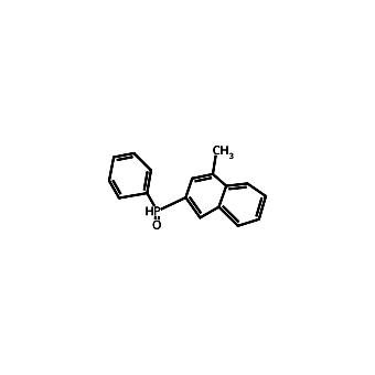 Cc1cc([PH](=O)c2ccccc2)cc2ccccc12